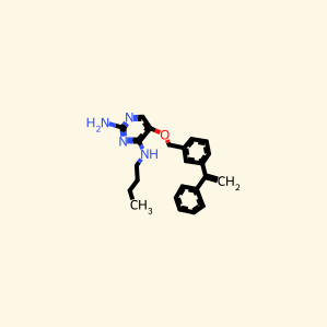 C=C(c1ccccc1)c1cccc(COc2cnc(N)nc2NCCCC)c1